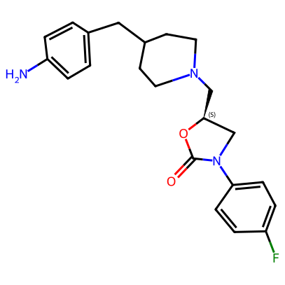 Nc1ccc(CC2CCN(C[C@H]3CN(c4ccc(F)cc4)C(=O)O3)CC2)cc1